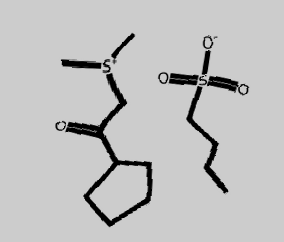 CCCCS(=O)(=O)[O-].C[S+](C)CC(=O)C1CCCC1